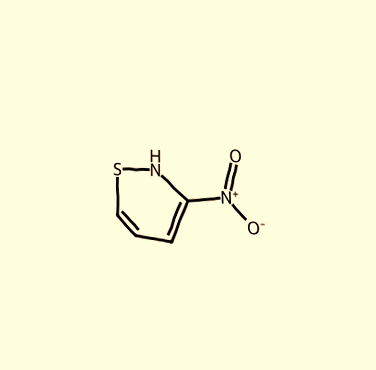 O=[N+]([O-])C1=CC=CSN1